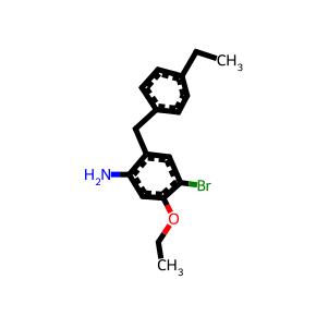 CCOc1cc(N)c(Cc2ccc(CC)cc2)cc1Br